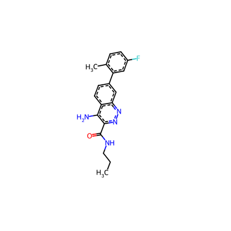 CCCNC(=O)c1nnc2cc(-c3cc(F)ccc3C)ccc2c1N